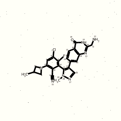 CC1CN(c2cc(Cl)c(F)c(-c3c(-c4ccc5c(=O)[nH]c(CN)nc5c4)cnn3C)c2C#N)C1